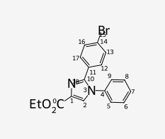 CCOC(=O)c1cn(-c2ccccc2)c(-c2ccc(Br)cc2)n1